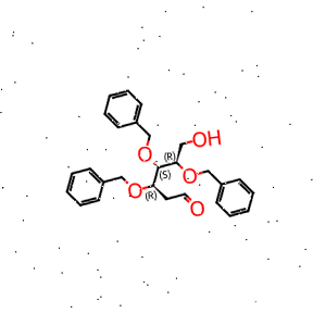 O=CC[C@@H](OCc1ccccc1)[C@H](OCc1ccccc1)[C@@H](CO)OCc1ccccc1